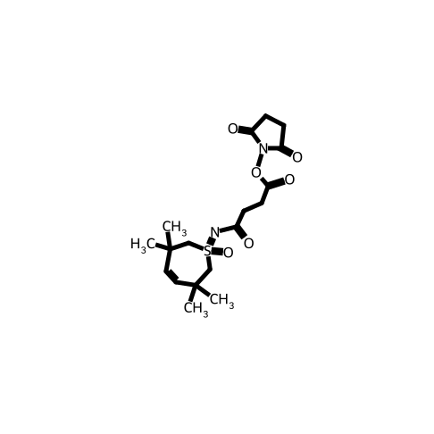 CC1(C)C=CC(C)(C)CS(=O)(=NC(=O)CCC(=O)ON2C(=O)CCC2=O)C1